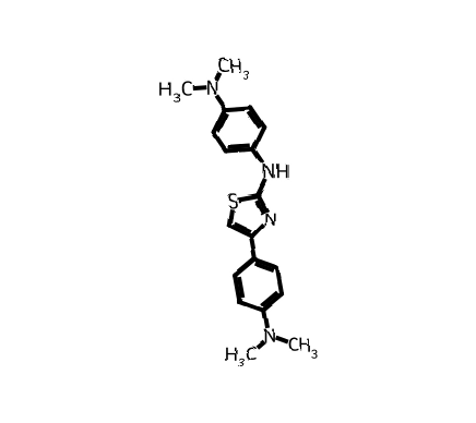 CN(C)c1ccc(Nc2nc(-c3ccc(N(C)C)cc3)cs2)cc1